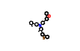 CC1CCCC=C1C1CC=C(N(C2=CC(C)C(c3ccc4sc5ccccc5c4c3)C=C2)C2C=CC(c3ccc4oc5ccccc5c4c3)=CC2)CC1